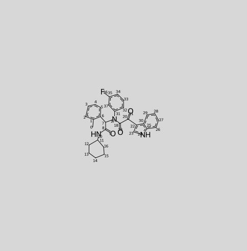 Cc1ccccc1C(C(=O)NC1CCCCC1)N(C(=O)C(=O)c1c[nH]c2ccccc12)c1cccc(F)c1